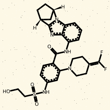 O=C(Nc1cccc2c1nc1n2[C@H]2CC[C@@H]1C2)c1ccc(NS(=O)(=O)CCO)cc1N1CCC(=C(F)F)CC1